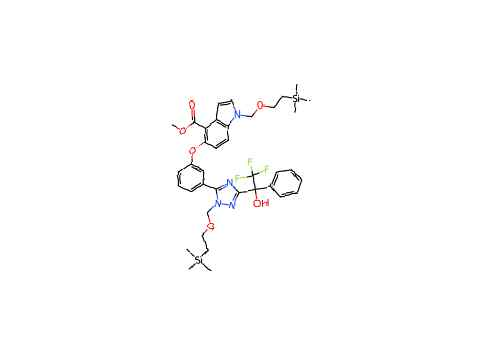 COC(=O)c1c(Oc2cccc(-c3nc(C(O)(c4ccccc4)C(F)(F)F)nn3COCC[Si](C)(C)C)c2)ccc2c1ccn2COCC[Si](C)(C)C